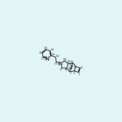 C1=CC2C1C1C=CC2C2CN(CCc3ccccn3)CC12